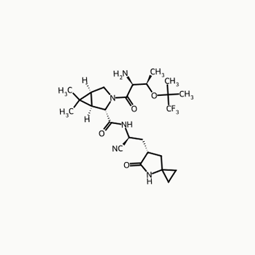 C[C@@H](OC(C)(C)C(F)(F)F)[C@H](N)C(=O)N1C[C@H]2[C@@H]([C@H]1C(=O)N[C@H](C#N)C[C@@H]1CC3(CC3)NC1=O)C2(C)C